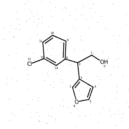 OCC(c1ccoc1)c1cccc(Cl)c1